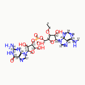 CCOC1C(COP(=O)(O)OC2C(O)OC(n3cnc4c(=O)[nH]c(N)nc43)C2O)OC(n2cnc3c(NC)ncnc32)C1O